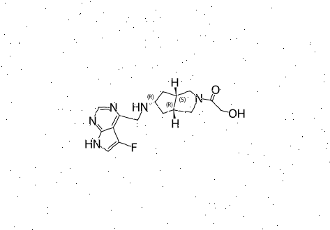 O=C(CO)N1C[C@H]2C[C@@H](NCc3ncnc4[nH]cc(F)c34)C[C@H]2C1